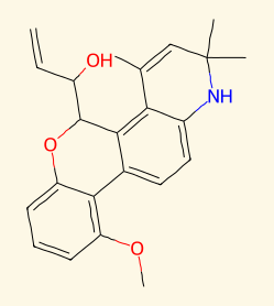 C=CC(O)C1Oc2cccc(OC)c2-c2ccc3c(c21)C(C)=CC(C)(C)N3